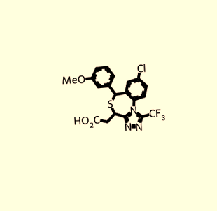 COc1cccc(C2SC(CC(=O)O)c3nnc(C(F)(F)F)n3-c3ccc(Cl)cc32)c1